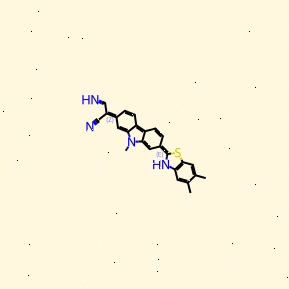 Cc1cc2c(cc1C)S/C(=c1\ccc3c4cc/c(=C(/C#N)C=N)cc4n(C)c3c1)N2